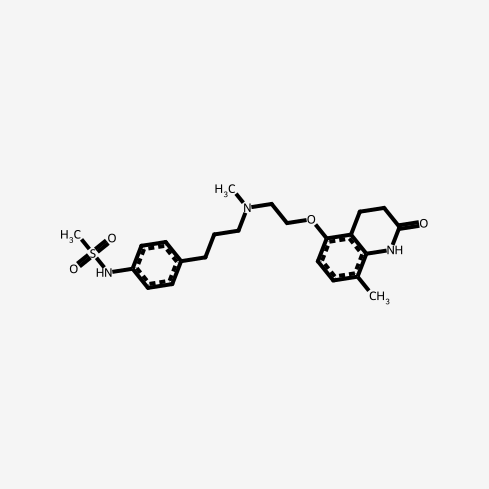 Cc1ccc(OCCN(C)CCCc2ccc(NS(C)(=O)=O)cc2)c2c1NC(=O)CC2